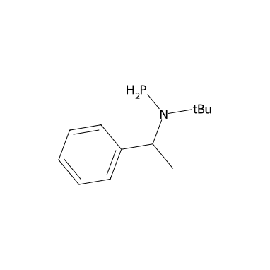 CC(c1ccccc1)N(P)C(C)(C)C